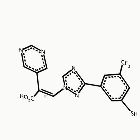 O=C(O)/C(=C/n1cnc(-c2cc(S)cc(C(F)(F)F)c2)n1)c1cncnc1